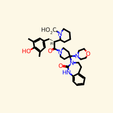 Cc1cc(C[C@@H](C(=O)N2CCC(N3CCOCC3)(N3CCc4ccccc4NC3=O)CC2)C2CCCCN2C(=O)O)cc(C)c1O